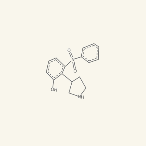 O=S(=O)(c1ccccc1)c1cccc(O)c1C1CCNC1